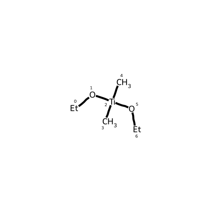 CC[O][Ti]([CH3])([CH3])[O]CC